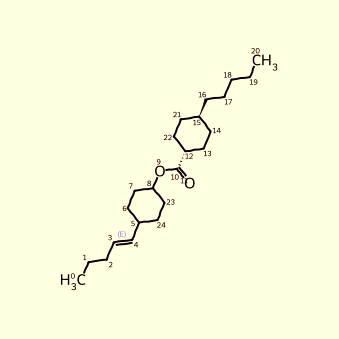 CCC/C=C/C1CCC(OC(=O)[C@H]2CC[C@H](CCCCC)CC2)CC1